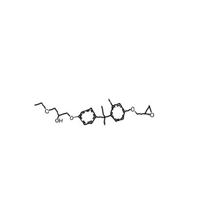 CCOCC(O)COc1ccc(C(C)(C)c2ccc(OCC3CO3)cc2C)cc1